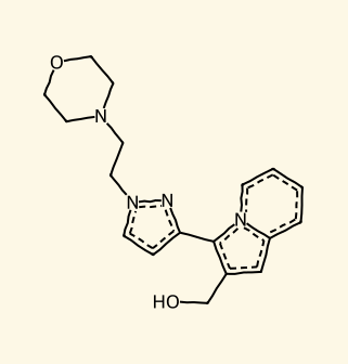 OCc1cc2ccccn2c1-c1ccn(CCN2CCOCC2)n1